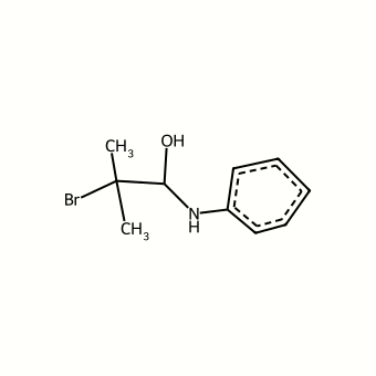 CC(C)(Br)C(O)Nc1ccccc1